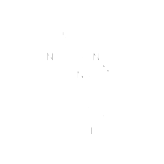 FC1(F)CC(c2nnc3c(Cl)nccn23)C1